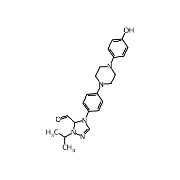 CC(C)N1N=CN(c2ccc(N3CCN(c4ccc(O)cc4)CC3)cc2)C1C=O